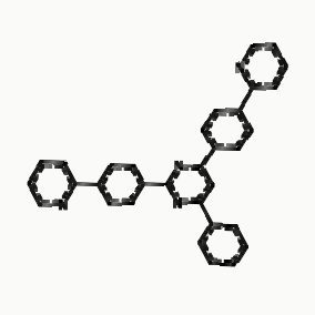 c1ccc(-c2cc(-c3ccc(-c4ccccn4)cc3)nc(-c3ccc(-c4ccccn4)cc3)n2)cc1